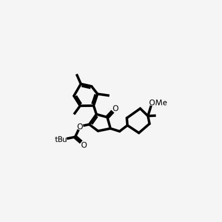 COC1(C)CCC(CC2CC(OC(=O)C(C)(C)C)=C(c3c(C)cc(C)cc3C)C2=O)CC1